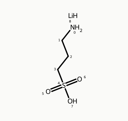 NCCCS(=O)(=O)O.[LiH]